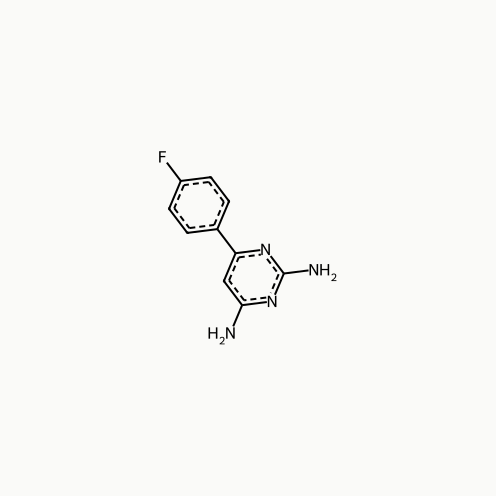 Nc1cc(-c2ccc(F)cc2)nc(N)n1